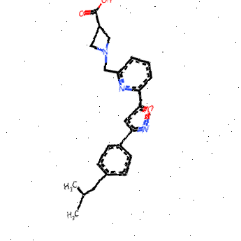 CC(C)Cc1ccc(-c2cc(-c3cccc(CN4CC(C(=O)O)C4)n3)on2)cc1